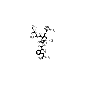 CCOC(=O)OC(C)OC(=O)C1=C(CSc2nnnn2C)CS[C@H]2C(NC(=O)C(O)c3ccccc3C(=O)[C@H](C)N)C(=O)N12.Cl